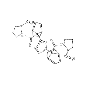 O=C(O)N1CCC[C@H]1C(=O)[N+]1(c2cnc([N+]3(C(=O)[C@@H]4CCCN4C(=O)O)C4=CC=C3C=C4)o2)C2=CC=C1C=C2